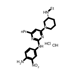 CCCc1cc(N2CCC[C@@H](NCC)C2)nc(Nc2ccc(N)c([N+](=O)[O-])c2)n1.Cl.Cl